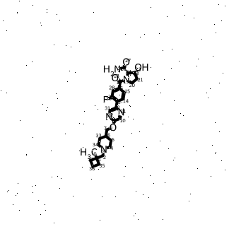 CC1(CN2CCC(COc3cnc(-c4ccc(C(=O)N5CC[C@H](O)[C@H]5C(N)=O)cc4F)cn3)CC2)CCC1